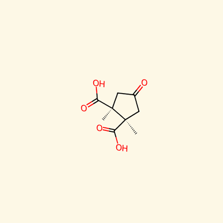 C[C@@]1(C(=O)O)CC(=O)C[C@]1(C)C(=O)O